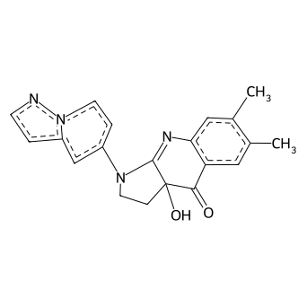 Cc1cc2c(cc1C)C(=O)C1(O)CCN(c3ccn4nccc4c3)C1=N2